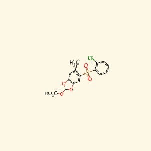 Cc1cc2c(cc1S(=O)(=O)c1ccccc1Cl)OC(OC(=O)O)O2